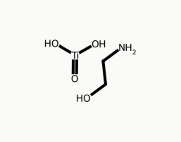 NCCO.[O]=[Ti]([OH])[OH]